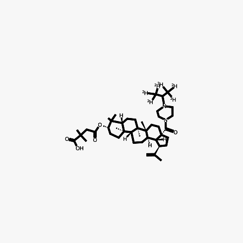 [2H]C([2H])([2H])C(N1CCN(C(=O)[C@]23CC[C@@H](C(=C)C)[C@@H]2[C@H]2CC[C@@H]4[C@@]5(C)CC[C@H](OC(=O)CC(C)(C)C(=O)O)C(C)(C)[C@@H]5CC[C@@]4(C)[C@]2(C)CC3)CC1)C([2H])([2H])[2H]